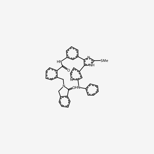 CSc1nc(-c2cccc(NC(=O)c3ccccc3CN3Cc4ccccc4C3=O)c2)c(-c2ccnc(Nc3ccccc3)c2)[nH]1